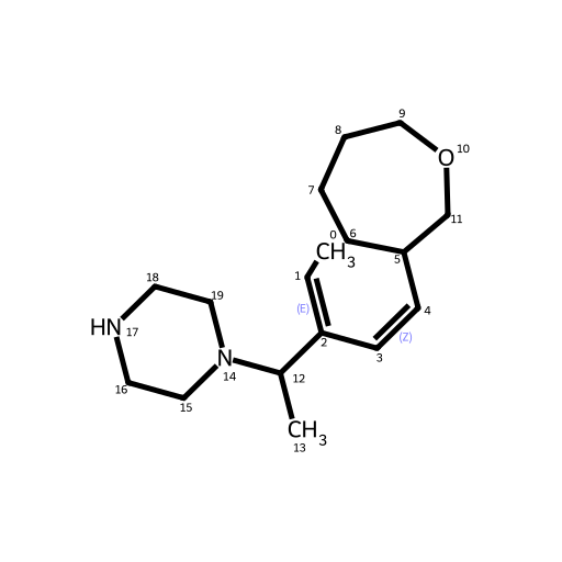 C/C=C(\C=C/C1CCCCOC1)C(C)N1CCNCC1